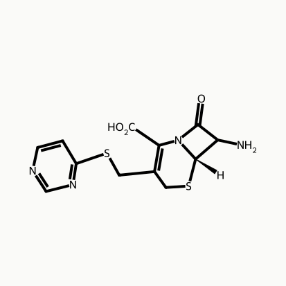 NC1C(=O)N2C(C(=O)O)=C(CSc3ccncn3)CS[C@@H]12